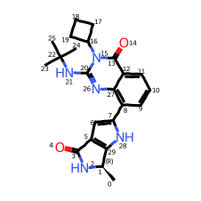 C[C@H]1NC(=O)c2cc(-c3cccc4c(=O)n(C5CCC5)c(NC(C)(C)C)nc34)[nH]c21